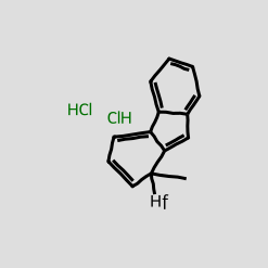 C[C]1([Hf])C=CC=C2C1=Cc1ccccc12.Cl.Cl